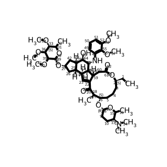 CC[C@H]1CCC[C@H](O[C@H]2CC[C@H](N(C)C)C(C)O2)[C@@H](C)C(=O)C2=C[C@H]3[C@@H]4C[C@H](O[C@@H]5OC(C)[C@H](OC)C(OC)C5OC)C[C@H]4[C@@H](O)[C@H](Nc4cccc(OC)c4OC)[C@H]3[C@@H]2CC(=O)O1